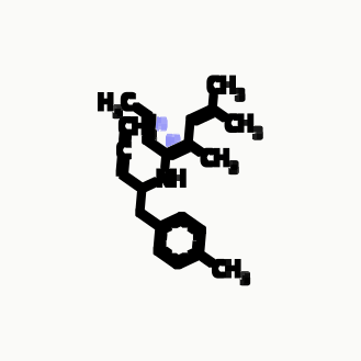 C=C=CC(Cc1ccc(C)cc1)NC(/C=C/C)=C(\C)C=C(C)C